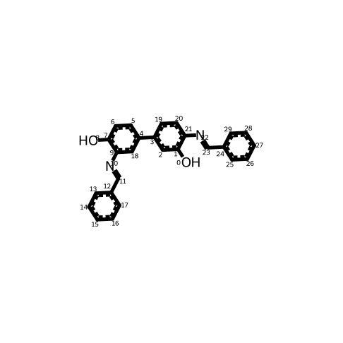 Oc1cc(-c2ccc(O)c(N=Cc3ccccc3)c2)ccc1N=Cc1ccccc1